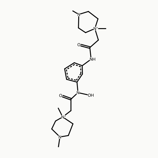 CN1CC[N+](C)(CC(=O)Nc2cccc(N(O)C(=O)C[N+]3(C)CCN(C)CC3)c2)CC1